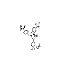 COc1ccc(C2CNC(=O)C(Cc3ccc(C(F)(F)F)cc3)(Cc3ccc(C(F)(F)F)cc3)C2)cc1OC(C)C